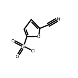 N#Cc1ccc(S(=O)(=O)Cl)o1